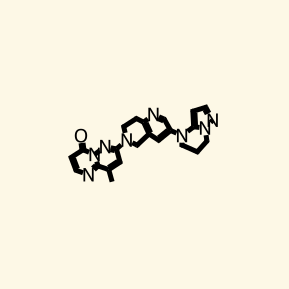 Cc1cc(N2CCc3ncc(N4CCCn5nccc54)cc3C2)nn2c(=O)ccnc12